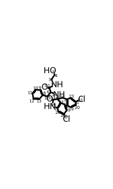 O=C(NCCO)C(Cc1ccccc1)NC1(Cc2cccc(Cl)c2)C(=O)Nc2cc(Cl)ccc21